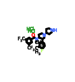 Cc1cc(C2CN(C3CCNCC3)CCC2N(C)C(=O)c2cc(C(F)(F)F)cc(C(F)(F)F)c2)ccc1F.Cl.Cl